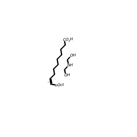 CCCCCCCC/C=C\CCCCCCCC(=O)O.OCNCO